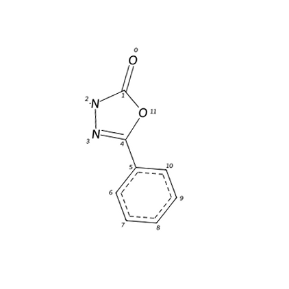 O=C1[N]N=C(c2ccccc2)O1